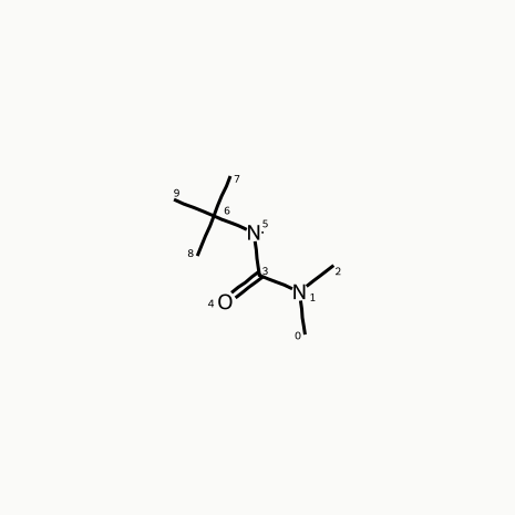 CN(C)C(=O)[N]C(C)(C)C